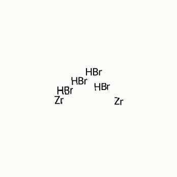 Br.Br.Br.Br.[Zr].[Zr]